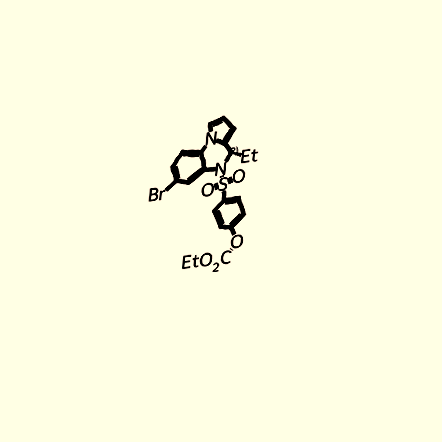 CCOC(=O)Oc1ccc(S(=O)(=O)N2c3cc(Br)ccc3-n3cccc3[C@H]2CC)cc1